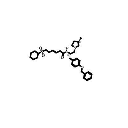 O=C(CCCCCS(=O)(=O)C1CCCCC1)N[C@@H](Cc1ccc(OCc2ccccc2)cc1)CN1CC[C@@H](F)C1